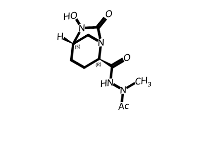 CC(=O)N(C)NC(=O)[C@H]1CC[C@H]2CN1C(=O)N2O